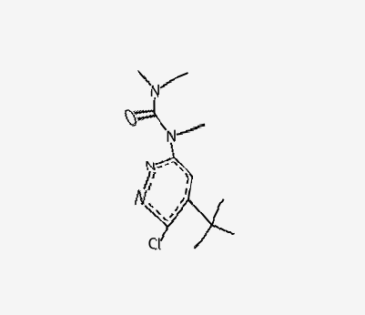 CN(C)C(=O)N(C)c1cc(C(C)(C)C)c(Cl)nn1